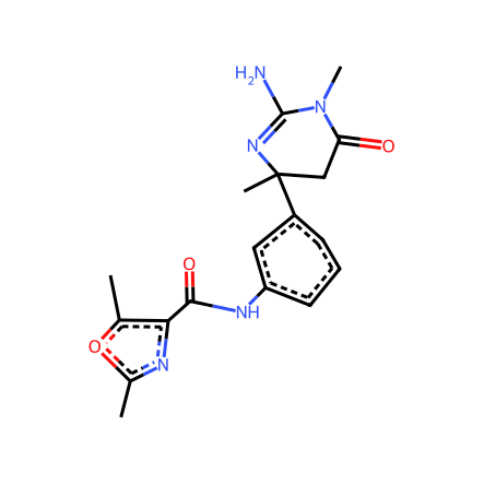 Cc1nc(C(=O)Nc2cccc(C3(C)CC(=O)N(C)C(N)=N3)c2)c(C)o1